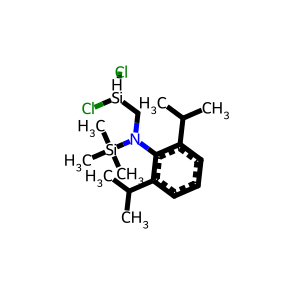 CC(C)c1cccc(C(C)C)c1N(C[SiH](Cl)Cl)[Si](C)(C)C